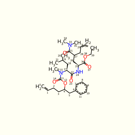 C=CCCC(Cc1ccccc1)OC(=O)N(C)[C@@H](CC(C)C)C(=O)N[C@@H](CC(CC=C)C(=O)N(C)C)C(=O)OCC